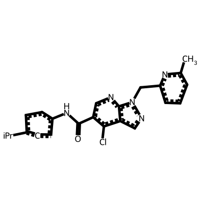 Cc1cccc(Cn2ncc3c(Cl)c(C(=O)Nc4ccc(C(C)C)cc4)cnc32)n1